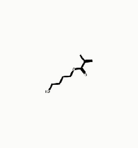 C=C(C)C(=O)OCCCCO